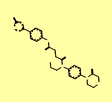 O=C(Nc1ccc(-c2noc(=O)[nH]2)cc1)[C@H](O)[C@H]1OCCN(c2ccc(N3CCOCC3=O)cc2)C1=O